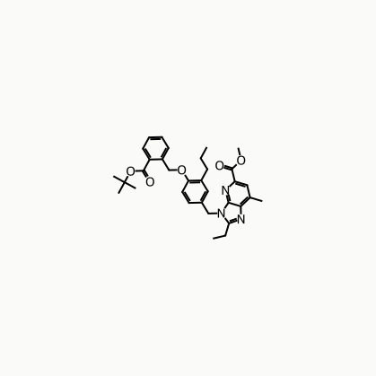 CCCc1cc(Cn2c(CC)nc3c(C)cc(C(=O)OC)nc32)ccc1OCc1ccccc1C(=O)OC(C)(C)C